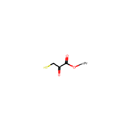 CCCOC(=O)C(=O)CS